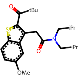 COc1ccc2sc(C(=O)C(C)(C)C)c(CC(=O)N(CC(C)C)CC(C)C)c2c1